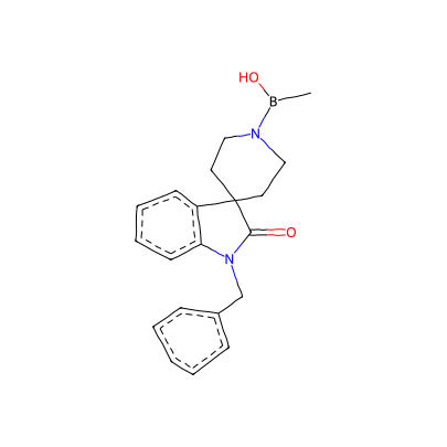 CB(O)N1CCC2(CC1)C(=O)N(Cc1ccccc1)c1ccccc12